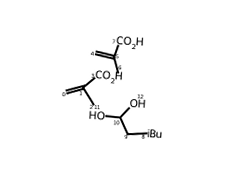 C=C(C)C(=O)O.C=C(C)C(=O)O.CCC(C)CC(O)O